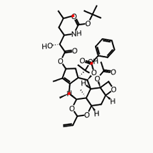 C=CC1O[C@H]2C[C@H]3OC[C@@]3(OC(C)=O)[C@H]3[C@H](OC(=O)c4ccccc4)[C@]4(C(C)(C)O)CC(OC(=O)[C@H](O)C(CC(C)C)NC(=O)OC(C)(C)C)C(C)=C4[C@H](C)[C@H](O1)[C@]23C